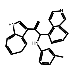 C=C(c1c[nH]c2c1=CCC=CC=2)C(Nc1cccc(C)c1)c1cccc2cnccc12